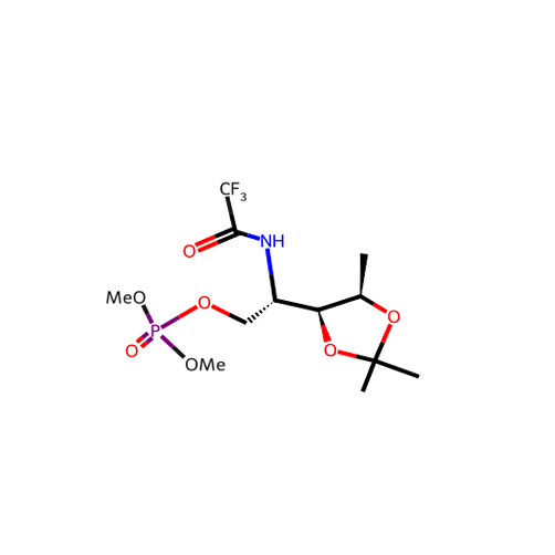 COP(=O)(OC)OC[C@H](NC(=O)C(F)(F)F)[C@@H]1OC(C)(C)O[C@@H]1C